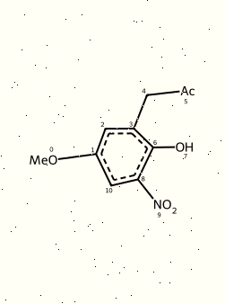 COc1cc(CC(C)=O)c(O)c([N+](=O)[O-])c1